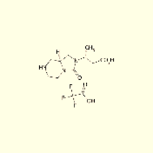 C[C@H](CC(=O)O)N1C[C@@H]2CNCCN2C1=O.O=C(O)C(F)(F)F